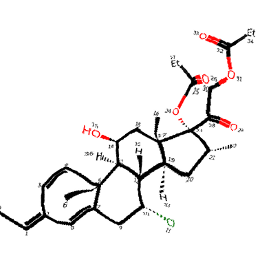 C/C=C1\C=C[C@@]2(C)C(=C1)C[C@@H](Cl)[C@@H]1[C@@H]2[C@@H](O)C[C@@]2(C)[C@H]1C[C@@H](C)[C@]2(OC(=O)CC)C(=O)COC(=O)CC